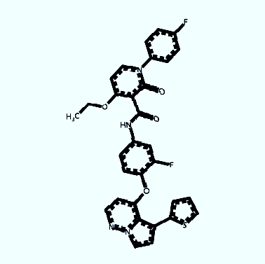 CCOc1ccn(-c2ccc(F)cc2)c(=O)c1C(=O)Nc1ccc(Oc2ccnn3ccc(-c4cccs4)c23)c(F)c1